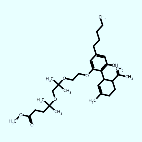 C=C(C)C1CCC(C)=CC1c1c(O)cc(CCCCC)cc1OCCOC(C)(C)COC(C)(C)CCC(=O)OC